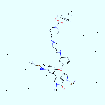 CCSNc1ccc(Oc2cccc(N3CC4(CN(CC5CCN(C(=O)OC(C)(C)C)CC5)C4)C3)c2)c(-c2cn(C)c(=O)c3c2ccn3SI)c1